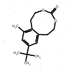 Cc1cc(C(C)(C)C)cc2c1CCOC(=O)OCC2